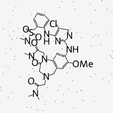 COc1cc2c(cc1Nc1ncc(Cl)c(Nc3ccccc3S(=O)(=O)N(C)C)n1)N(CC(=O)N(C)C)C(=O)CN(CC(=O)N(C)C)C2